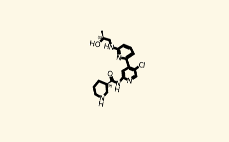 C[C@H](O)CNc1cccc(-c2cc(NC(=O)[C@@H]3CCCNC3)ncc2Cl)n1